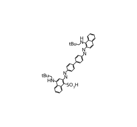 CC(C)(C)CNc1c(/N=N/c2ccc(-c3ccc(/N=N/c4cc(NCC(C)(C)C)c5ccccc5c4S(=O)(=O)O)cc3)cc2)ccc2ccccc12